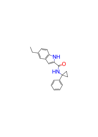 CCc1ccc2[nH]c(C(=O)NC3(c4ccccc4)CC3)cc2c1